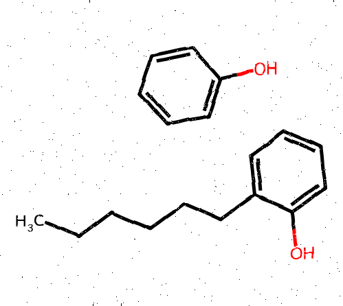 CCCCCCc1ccccc1O.Oc1ccccc1